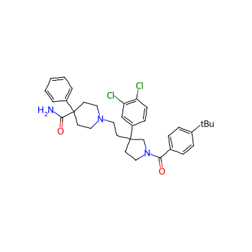 CC(C)(C)c1ccc(C(=O)N2CCC(CCN3CCC(C(N)=O)(c4ccccc4)CC3)(c3ccc(Cl)c(Cl)c3)C2)cc1